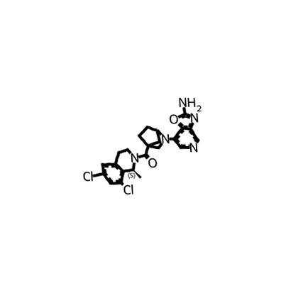 C[C@H]1c2c(Cl)cc(Cl)cc2CCN1C(=O)C12CCC(C1)N(c1cncc3nc(N)oc13)C2